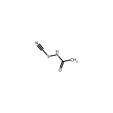 CC(=O)NSC#N